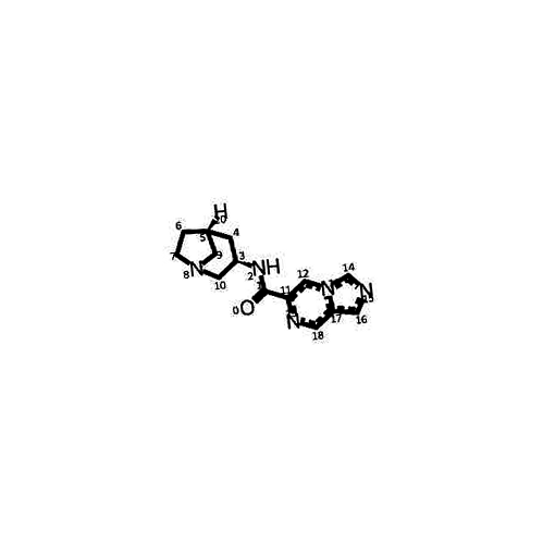 O=C(N[C@@H]1C[C@H]2CCN(C2)C1)c1cn2cncc2cn1